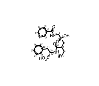 CC(C)CC(CP(=O)(O)CNC(=O)c1cccnc1)C(=O)N[C@@H](Cc1ccccc1)C(=O)O